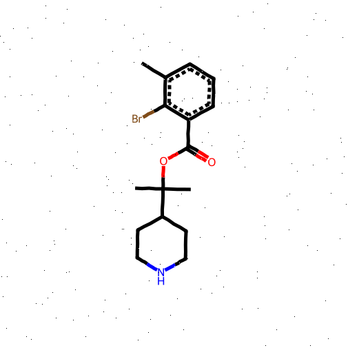 Cc1cccc(C(=O)OC(C)(C)C2CCNCC2)c1Br